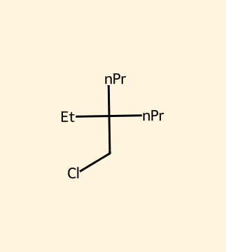 CCCC(CC)(CCl)CCC